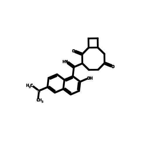 CN(C)c1ccc2c(C(=N)C3CCC(=O)CC4CCC4C3=O)c(O)ccc2c1